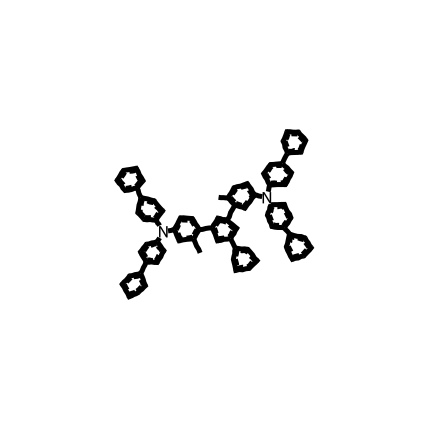 Cc1cc(N(c2ccc(-c3ccccc3)cc2)c2ccc(-c3ccccc3)cc2)ccc1-c1cc(-c2ccccc2)cc(-c2cc(N(c3ccc(-c4ccccc4)cc3)c3ccc(-c4ccccc4)cc3)ccc2C)c1